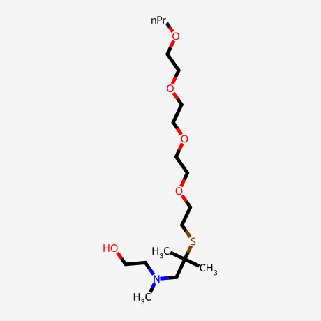 CCCOCCOCCOCCOCCSC(C)(C)CN(C)CCO